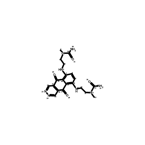 CN(CCNc1ccc(NCCN(C)C(N)=O)c2c1C(=O)c1cnncc1C2=O)C(N)=O